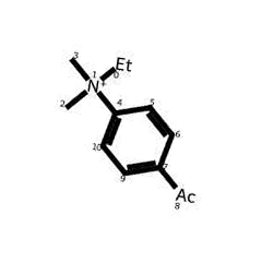 CC[N+](C)(C)c1ccc(C(C)=O)cc1